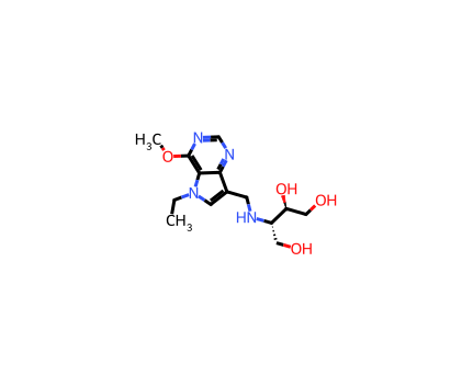 CCn1cc(CN[C@@H](CO)[C@@H](O)CO)c2ncnc(OC)c21